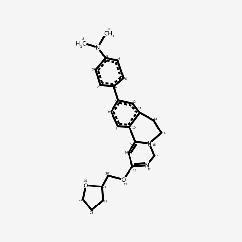 CN(C)c1ccc(-c2ccc3c(c2)CCN2CN=C(OCC4CCCO4)C=C32)cc1